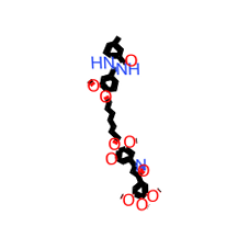 COc1cc(C2NC(=O)c3cc(C)ccc3N2)ccc1OCCCCCCCOc1c(OC)cc(C2=NOC(c3cc(OC)c(OC)c(OC)c3)C2)cc1OC